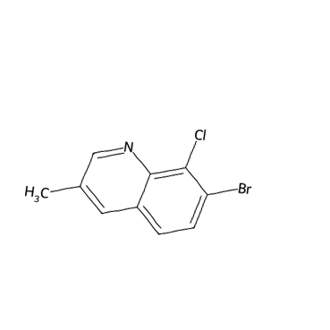 Cc1cnc2c(Cl)c(Br)ccc2c1